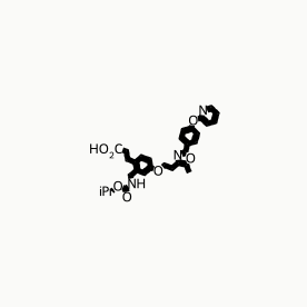 Cc1oc(-c2ccc(Oc3ccccn3)cc2)nc1CCOc1ccc(CCC(=O)O)c(CNC(=O)OC(C)C)c1